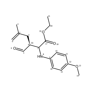 C=C(C)C[C@H](C=O)C(Nc1ccc(OC)cc1)C(=O)OCC